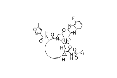 CCc1nc2cccc(F)c2nc1O[C@@H]1C[C@H]2C(=O)N[C@]3(C(=O)NS(=O)(=O)C4CC4)C[C@H]3/C=C\CCCCC[C@H](NC(=O)c3cc(C)on3)C(=O)N2C1